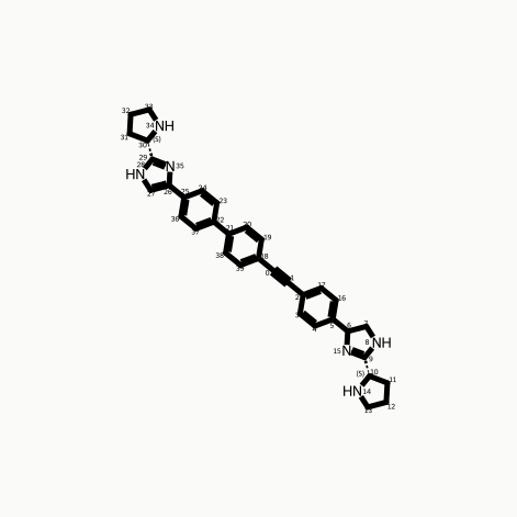 C(#Cc1ccc(C2CNC([C@@H]3CCCN3)=N2)cc1)c1ccc(-c2ccc(-c3c[nH]c([C@@H]4CCCN4)n3)cc2)cc1